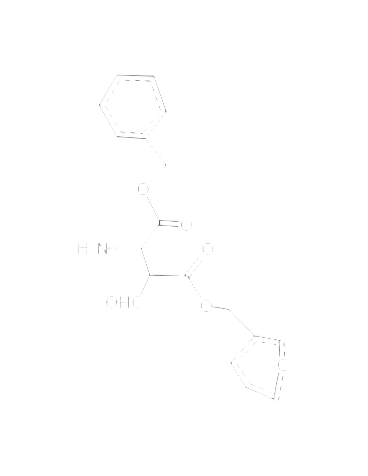 N[C@H](C(=O)OCc1ccccc1)C(C=O)C(=O)OCc1ccccc1